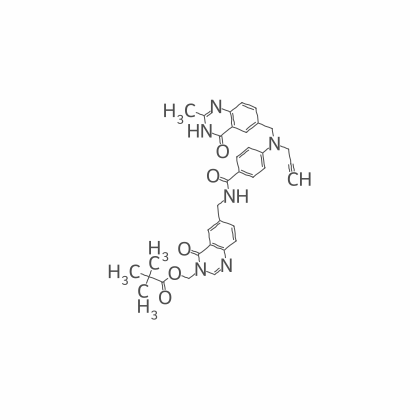 C#CCN(Cc1ccc2nc(C)[nH]c(=O)c2c1)c1ccc(C(=O)NCc2ccc3ncn(COC(=O)C(C)(C)C)c(=O)c3c2)cc1